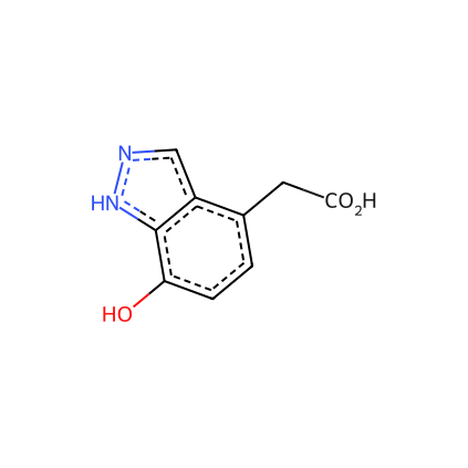 O=C(O)Cc1ccc(O)c2[nH]ncc12